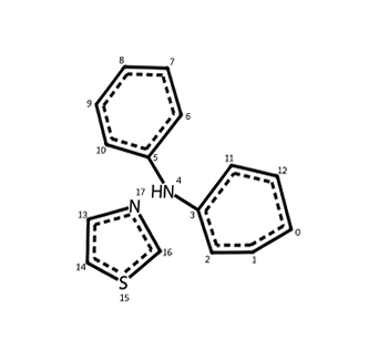 c1ccc(Nc2ccccc2)cc1.c1cscn1